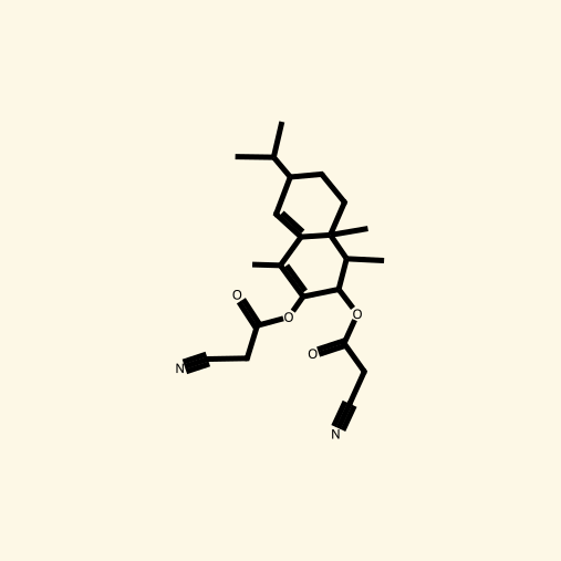 CC1=C(OC(=O)CC#N)C(OC(=O)CC#N)C(C)C2(C)CCC(C(C)C)C=C12